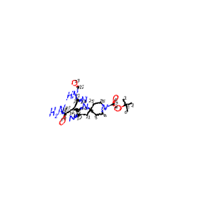 CC(C)(C)OC(=O)N1CCC(CC#N)(n2cc(C(N)=O)c(NC=O)n2)CC1